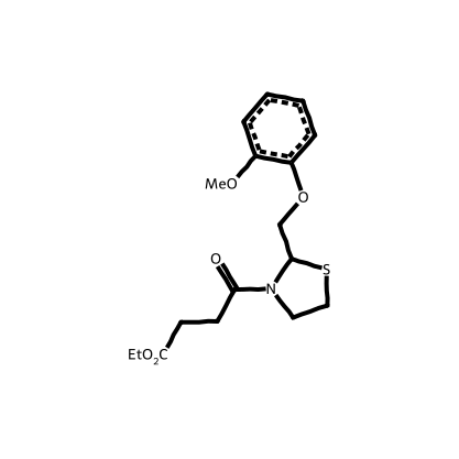 CCOC(=O)CCC(=O)N1CCSC1COc1ccccc1OC